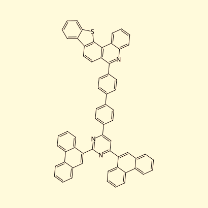 c1ccc2c(c1)cc(-c1cc(-c3ccc(-c4ccc(-c5nc6ccccc6c6c5ccc5c7ccccc7sc56)cc4)cc3)nc(-c3cc4ccccc4c4ccccc34)n1)c1ccccc12